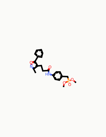 COP(=O)(Cc1ccc(NC(=O)CCc2c(C)noc2-c2ccccc2)cc1)OC